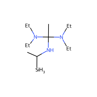 CCN(CC)C(C)(NC(C)[SiH3])N(CC)CC